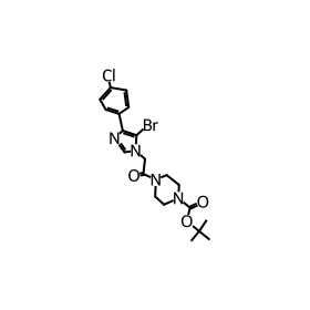 CC(C)(C)OC(=O)N1CCN(C(=O)Cn2cnc(-c3ccc(Cl)cc3)c2Br)CC1